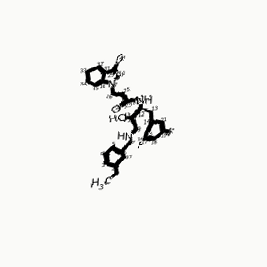 CCc1cccc(CNC[C@@H](O)[C@H](Cc2cc(F)cc(F)c2)NC(=O)CCn2sc(=O)c3ccccc32)c1